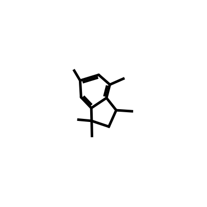 Cc1cc(C)c2c(c1)C(C)(C)CC2C